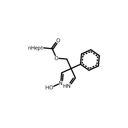 CCCCCCCC(=O)OCC(C=N)(C=NO)c1ccccc1